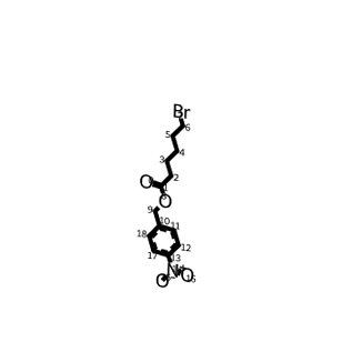 O=C(CCCCCBr)OCc1ccc([N+](=O)[O-])cc1